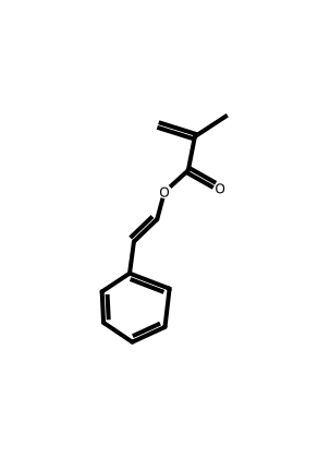 C=C(C)C(=O)O/C=C/c1ccccc1